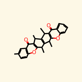 Cc1ccc2oc3c(c(=O)c2c1)C(C)C1=C(C(C)c2oc4ccccc4c(=O)c2C1C)C3C